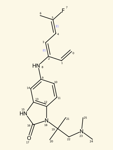 C=C/C(=C\C=C(/C)F)Nc1ccc2c(c1)[nH]c(=O)n2C(C)(C)CN(C)C